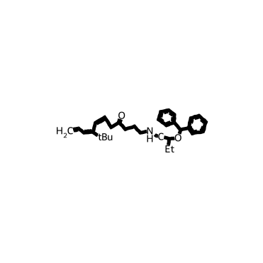 C=C/C=C(\C=C/CC(=O)CCCNCCC(CC)OC(c1ccccc1)c1ccccc1)C(C)(C)C